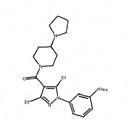 CCCCCCc1cccc(-n2nc(CC)c(C(=O)N3CCC(N4CCCC4)CC3)c2CC)c1